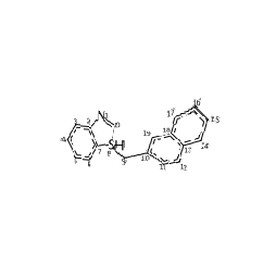 C1=Nc2ccccc2[SH]1Cc1ccc2ccccc2c1